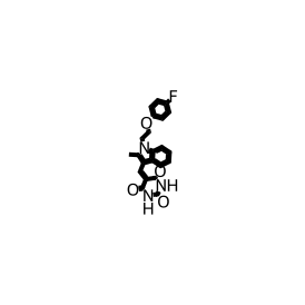 Cc1c(C=C2C(=O)NC(=O)NC2=O)c2ccccc2n1CCOc1ccc(F)cc1